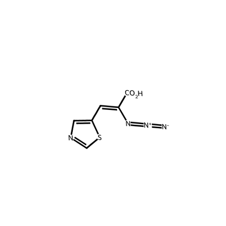 [N-]=[N+]=NC(=Cc1cncs1)C(=O)O